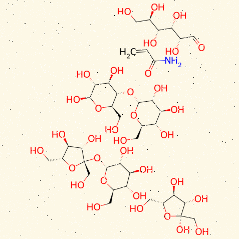 C=CC(N)=O.O=C[C@H](O)[C@@H](O)[C@H](O)[C@H](O)CO.OC[C@H]1O[C@@](CO)(O[C@H]2O[C@H](CO)[C@@H](O)[C@H](O)[C@H]2O)[C@@H](O)[C@@H]1O.OC[C@H]1O[C@H](O[C@H]2[C@H](O)[C@@H](O)[C@H](O)O[C@@H]2CO)[C@H](O)[C@@H](O)[C@@H]1O.OC[C@H]1O[C@](O)(CO)[C@@H](O)[C@@H]1O